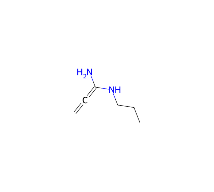 C=C=C(N)NCCC